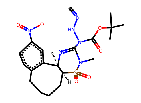 C=NNN(C(=O)OC(C)(C)C)C1=N[C@]2(C)c3cc([N+](=O)[O-])ccc3CCCC[C@@H]2S(=O)(=O)N1C